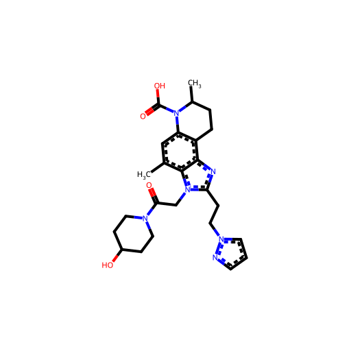 Cc1cc2c(c3nc(CCn4cccn4)n(CC(=O)N4CCC(O)CC4)c13)CCC(C)N2C(=O)O